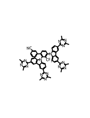 Cc1nc(C)nc(-c2ccc3c(c2)c2cc(-c4nc(C)nc(C)n4)ccc2n3-c2ccc(-c3cccc(C#N)c3)c(-n3c4ccc(-c5nc(C)nc(C)n5)cc4c4cc(-c5nc(C)nc(C)n5)ccc43)c2C(F)(F)F)n1